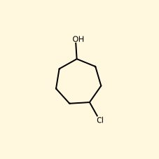 OC1CCCC(Cl)CC1